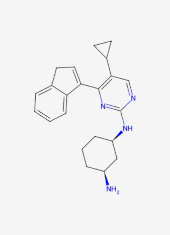 N[C@H]1CCC[C@@H](Nc2ncc(C3CC3)c(C3=CCc4ccccc43)n2)C1